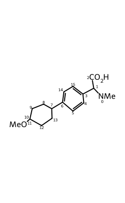 CNC(C(=O)O)c1ccc(C2CCC(OC)CC2)cc1